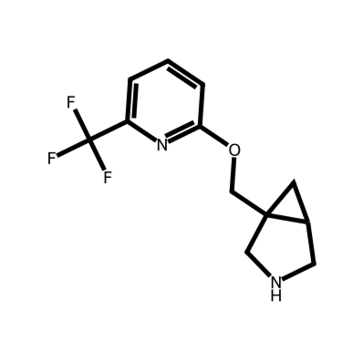 FC(F)(F)c1cccc(OCC23CNCC2C3)n1